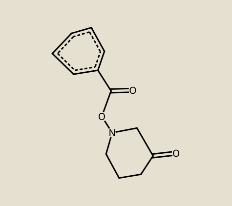 O=C1CCCN(OC(=O)c2ccccc2)C1